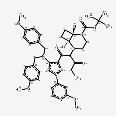 CCC(=O)C(C(=O)c1nn(-c2ccnc(OC)c2)nc1N(Cc1ccc(OC)cc1)Cc1ccc(OC)cc1)N1CCN(C(=O)OC(C)(C)C)[C@H]2CC[C@@H]21